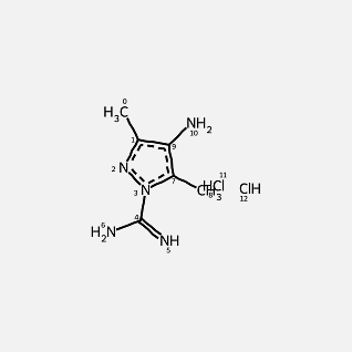 Cc1nn(C(=N)N)c(C)c1N.Cl.Cl